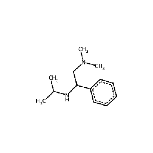 CC(C)NC(CN(C)C)c1ccccc1